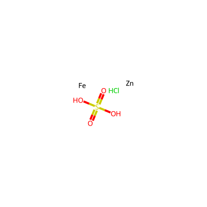 Cl.O=S(=O)(O)O.[Fe].[Zn]